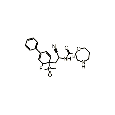 CP(C)(=O)C1(CC(C#N)NC(=O)[C@@H]2CNCCCO2)C=CC(c2ccccc2)=CC1F